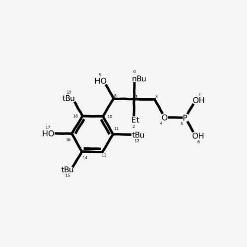 CCCCC(CC)(COP(O)O)C(O)c1c(C(C)(C)C)cc(C(C)(C)C)c(O)c1C(C)(C)C